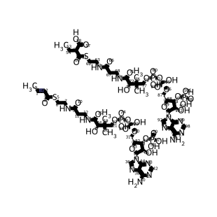 C/C=C/C(=O)SCCNC(=O)CCNC(=O)[C@H](O)C(C)(C)COP(=O)(O)OP(=O)(O)OC[C@H]1O[C@@H](n2cnc3c(N)ncnc32)[C@H](O)[C@@H]1OP(=O)(O)O.CCC(C(=O)O)C(=O)SCCNC(=O)CCNC(=O)[C@H](O)C(C)(C)COP(=O)(O)OP(=O)(O)OC[C@H]1O[C@@H](n2cnc3c(N)ncnc32)[C@H](O)[C@@H]1OP(=O)(O)O